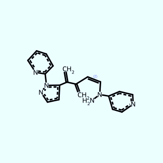 C=C(/C=C\N(N)c1ccncc1)C(=C)c1ccnn1-c1ccccn1